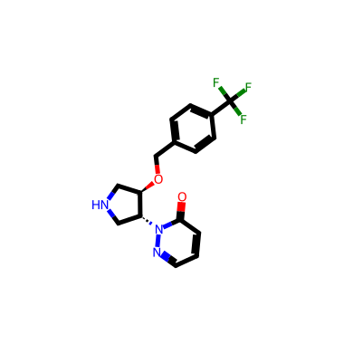 O=c1cccnn1[C@@H]1CNC[C@H]1OCc1ccc(C(F)(F)F)cc1